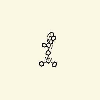 c1ccc(-c2cc(-c3ccccc3)nc(-c3ccc(-c4nc5cc6ccc7cccnc7c6nc5c5ccccc45)cc3)n2)cc1